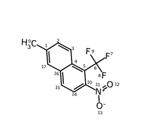 Cc1ccc2c(C(F)(F)F)c([N+](=O)[O-])ccc2c1